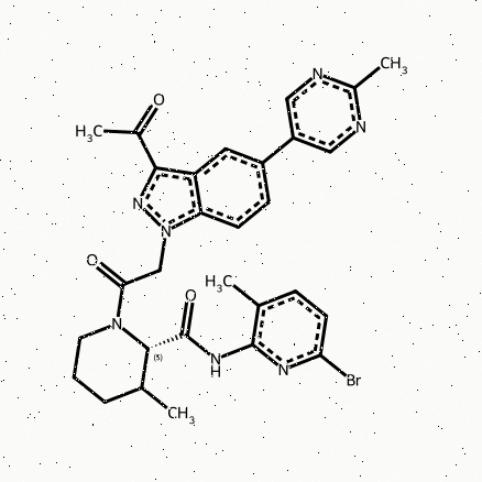 CC(=O)c1nn(CC(=O)N2CCCC(C)[C@H]2C(=O)Nc2nc(Br)ccc2C)c2ccc(-c3cnc(C)nc3)cc12